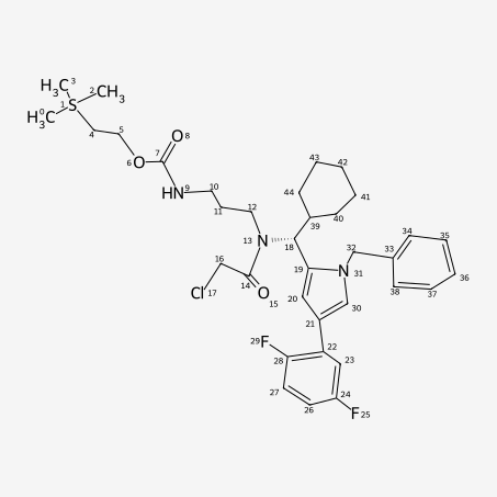 CS(C)(C)CCOC(=O)NCCCN(C(=O)CCl)[C@@H](c1cc(-c2cc(F)ccc2F)cn1Cc1ccccc1)C1CCCCC1